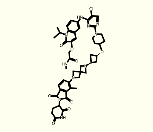 CNC(=O)COc1cc2cc(Nc3nc(N4CCC(O[C@H]5C[C@H](N6CC7(CN(c8ccc9c(c8C)C(=O)N(C8CCC(=O)NC8=O)C9=O)C7)C6)C5)CC4)ncc3Cl)ccc2n(C(C)C)c1=O